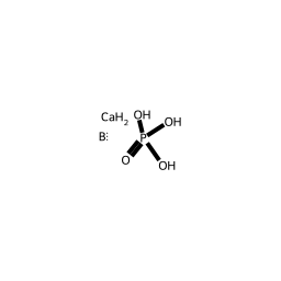 O=P(O)(O)O.[B].[CaH2]